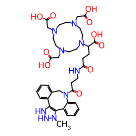 CN1NNC2=C1c1ccccc1N(C(=O)CCNC(=O)CCC(C(=O)O)N1CCN(CC(=O)O)CCN(CC(=O)O)CCN(CC(=O)O)CC1)Cc1ccccc12